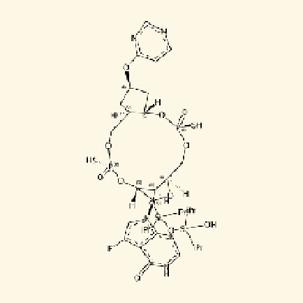 CC(C)[Si](O)(O[Si](O[C@H]1[C@H]2O[P@](=O)(S)OC[C@H]3C[C@@H](Oc4ccncn4)C[C@@H]3O[P@@](=O)(S)OC[C@H]1O[C@H]2n1cc(F)c2c(=O)[nH]cnc21)(C(C)C)C(C)C)C(C)C